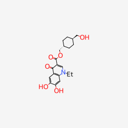 CCn1cc(C(=O)OC[C@H]2CC[C@H](CO)CC2)c(=O)c2cc(O)c(O)cc21